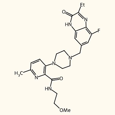 CCc1nc2c(F)cc(CN3CCN(c4ccc(C)nc4C(=O)NCCOC)CC3)cc2[nH]c1=O